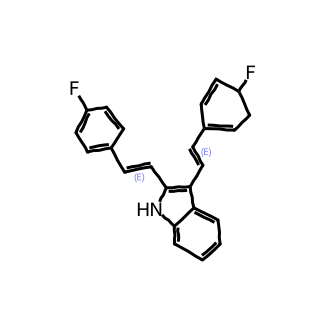 Fc1ccc(/C=C/c2[nH]c3ccccc3c2/C=C/C2=CCC(F)C=C2)cc1